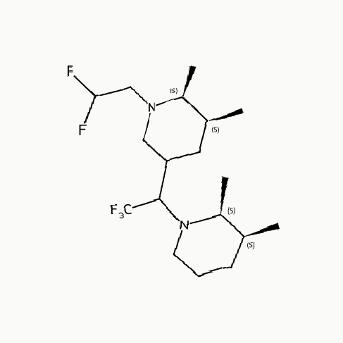 C[C@H]1CC(C(N2CCC[C@H](C)[C@@H]2C)C(F)(F)F)CN(CC(F)F)[C@H]1C